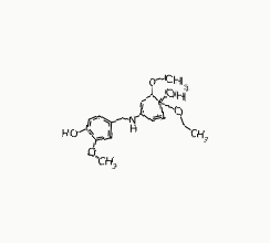 CCOC1(O)C=CC(NCc2ccc(O)c(OC)c2)=CC1OC